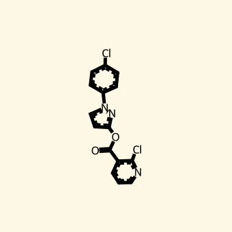 O=C(Oc1ccn(-c2ccc(Cl)cc2)n1)c1cccnc1Cl